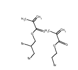 C=C(C)C(=O)OCC(Br)CBr.C=C(C)C(=O)OCCBr